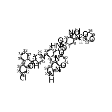 O=C(NS(=O)(=O)c1ccc(NC[C@H]2COCCO2)c([N+](=O)[O-])c1)c1ccc(N2CCC([C@@H](O)c3ccccc3-c3ccc(Cl)cc3)CC2)cc1N1CCCOc2nc3[nH]ccc3cc21